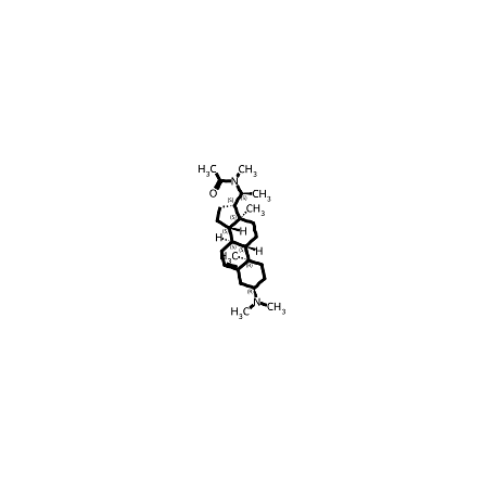 CC(=O)N(C)[C@@H](C)[C@H]1CC[C@H]2[C@@H]3CC=C4C[C@H](N(C)C)CC[C@]4(C)[C@H]3CC[C@]12C